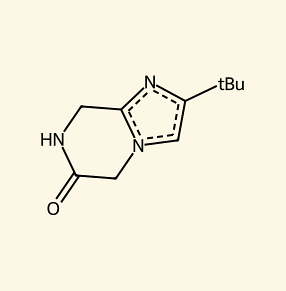 CC(C)(C)c1cn2c(n1)CNC(=O)C2